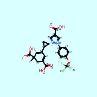 CC1(C(=O)O)C=C(C2CC2)C=C(C(=O)O)C1.O=C(O)c1cnn(-c2ccc(OC(F)(F)F)cc2)c1